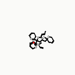 C=C[SiH](C)C1(C(CCCC2([SiH3])CCCCO2)(OC(=O)C=CC)C2([SiH](C)C)CCCCO2)CCCCO1